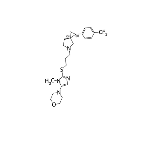 Cn1c(N2CCOCC2)cnc1SCCCN1CC[C@]2(C[C@@H]2c2ccc(C(F)(F)F)cc2)C1